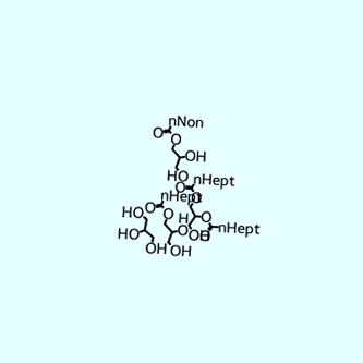 CCCCCCCC(=O)OCC(CO)OC(=O)CCCCCCC.CCCCCCCC(=O)OCC(O)CO.CCCCCCCCCC(=O)OCC(O)CO.OCC(O)CO